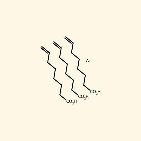 C=CCCCCCC(=O)O.C=CCCCCCC(=O)O.C=CCCCCCC(=O)O.[Al]